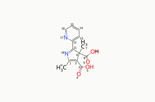 CC1=C(C(=O)O)C(C)(C(=O)O)C(c2ccccn2)=N1